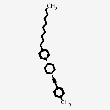 CCCCCCCCCCc1ccc([C@H]2CC[C@H](C#Cc3ccc(C)cc3)CC2)cc1